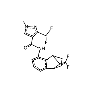 Cn1cc(C(=O)Nc2cccc3c2C2CCC3C2=C(F)F)c(C(F)F)n1